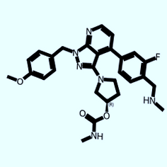 CNCc1ccc(-c2ccnc3c2c(N2CC[C@@H](OC(=O)NC)C2)nn3Cc2ccc(OC)cc2)cc1F